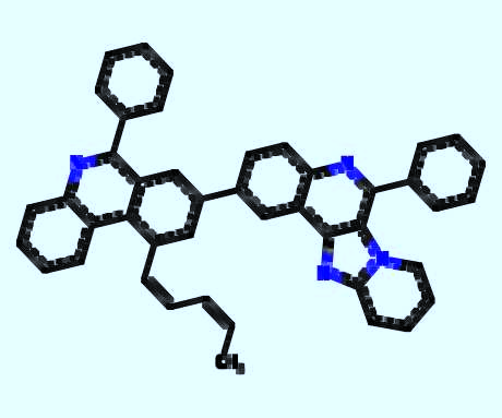 C/C=C\C=C/c1cc(-c2ccc3nc(-c4ccccc4)c4c(nc5ccccn54)c3c2)cc2c(-c3ccccc3)nc3ccccc3c12